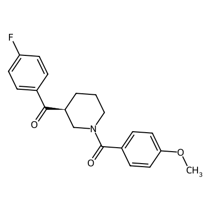 COc1ccc(C(=O)N2CCC[C@H](C(=O)c3ccc(F)cc3)C2)cc1